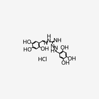 Cl.N=C(NN=Cc1cc(O)c(O)cc1O)NN=Cc1cc(O)c(O)cc1O